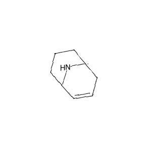 C1=CC2CCC[C](C1)N2